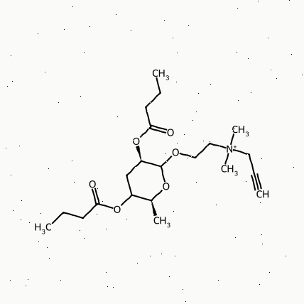 C#CC[N+](C)(C)CCOC1O[C@@H](C)C(OC(=O)CCC)C[C@H]1OC(=O)CCC